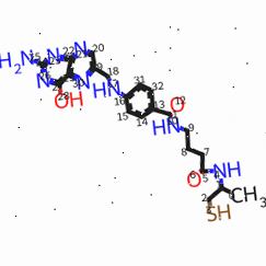 CC(CS)NC(=O)CCCNC(=O)c1ccc(NCc2cnc3nc(N)nc(O)c3n2)cc1